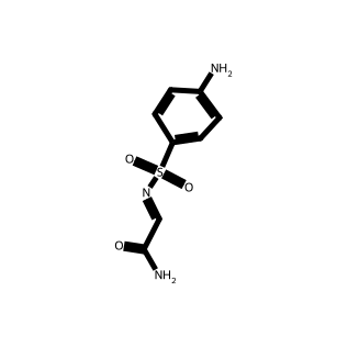 NC(=O)C=NS(=O)(=O)c1ccc(N)cc1